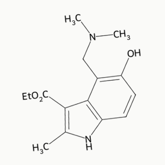 CCOC(=O)c1c(C)[nH]c2ccc(O)c(CN(C)C)c12